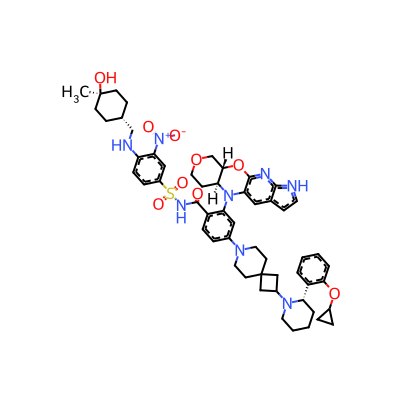 C[C@]1(O)CC[C@H](CNc2ccc(S(=O)(=O)NC(=O)c3ccc(N4CCC5(CC4)CC(N4CCCC[C@H]4c4ccccc4OC4CC4)C5)cc3N3c4cc5cc[nH]c5nc4O[C@H]4COCC[C@@H]43)cc2[N+](=O)[O-])CC1